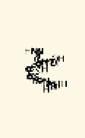 CNc1cncc(COc2cc(OCc3cccc(-c4cccc(-c5nc6ccc(CNC[C@@H](O)CC(=O)O)cc6s5)c4C)c3C)c(Cl)cc2CNC[C@@H](O)CC(=O)O)c1